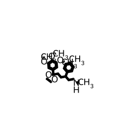 CNCCC(CCC1(c2cc(OC)c(OC)c(OC)c2)OCCO1)c1ccc(C)cc1